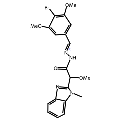 COc1cc(/C=N/NC(=O)C(OC)c2nc3ccccc3n2C)cc(OC)c1Br